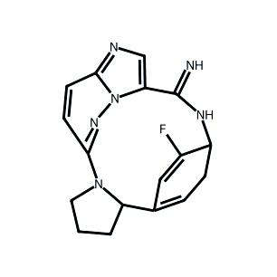 N=C1NC2CC=C(C=C2F)C2CCCN2c2ccc3ncc1n3n2